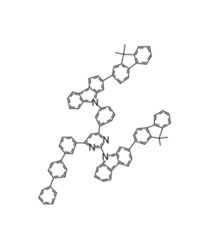 CC1(C)c2ccccc2-c2ccc(-c3ccc4c5ccccc5n(-c5cccc(-c6cc(-c7cccc(-c8ccc(-c9ccccc9)cc8)c7)nc(-n7c8ccccc8c8ccc(-c9ccc%10c(c9)C(C)(C)c9ccccc9-%10)cc87)n6)c5)c4c3)cc21